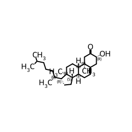 CC(C)CCC[C@@H](C)[C@H]1CC[C@H]2[C@@H]3CC=C4C[C@@H](O)C(=O)C[C@]4(C)[C@H]3CC[C@]12C